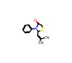 N#CC(C#N)=CC1SCC(=O)N1c1ccccc1